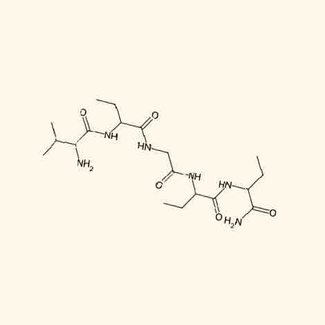 CCC(NC(=O)C(CC)NC(=O)CNC(=O)C(CC)NC(=O)C(N)C(C)C)C(N)=O